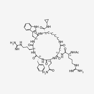 CC(=O)N[C@@H](CCCNC(=N)N)C(=O)N[C@H]1CC(=O)NCCCC[C@@H](C(=O)NC2CC2)NC(=O)[C@H](Cc2c[nH]c3ccccc23)NC(=O)[C@H](CCCNC(=N)N)NC(=O)[C@@H](Cc2ccccc2)NC(=O)[C@H](CCC(N)=O)NC1=O